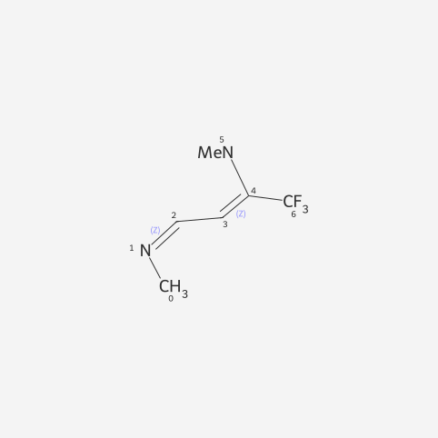 C/N=C\C=C(/NC)C(F)(F)F